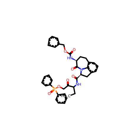 O=C(O)CC(NC(=O)[C@@H]1Cc2cccc3c2N1C(=O)[C@@H](NC(=O)OCc1ccccc1)CC3)C(=O)COP(=O)(c1ccccc1)c1ccccc1